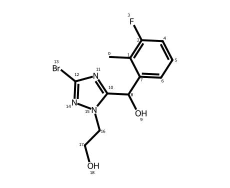 Cc1c(F)cccc1C(O)c1nc(Br)nn1CCO